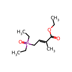 CCOC(=O)C(C)=CCP(=O)(CC)CC